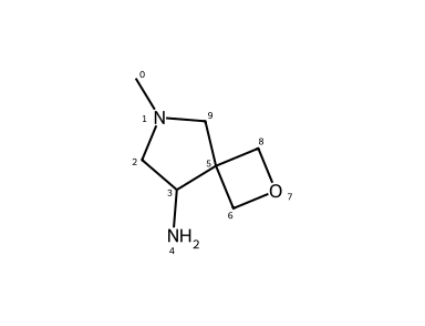 CN1CC(N)C2(COC2)C1